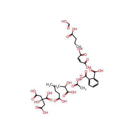 CC(=O)O.CC(O)C(=O)O.CCCC(=O)O.CCCCC(=O)O.O=C(O)/C=C\C(=O)O.O=C(O)CC(O)(CC(=O)O)C(=O)O.O=C(O)c1ccccc1C(=O)O.O=CO